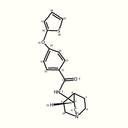 O=C(N[C@H]1CN2CCC1CC2)c1ccc(Oc2cccs2)cc1